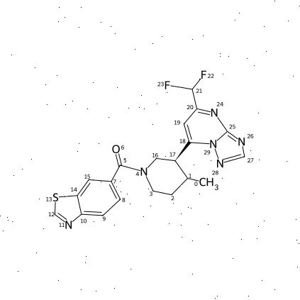 CC1CCN(C(=O)c2ccc3ncsc3c2)C[C@H]1c1cc(C(F)F)nc2ncnn12